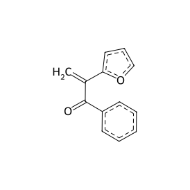 C=C(C(=O)c1ccccc1)c1ccco1